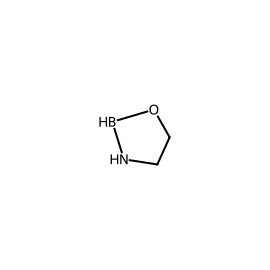 B1NCCO1